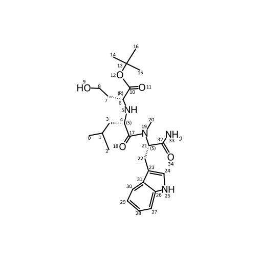 CC(C)C[C@H](N[C@H](CCO)C(=O)OC(C)(C)C)C(=O)N(C)[C@@H](Cc1c[nH]c2ccccc12)C(N)=O